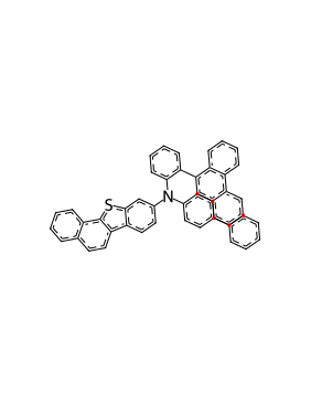 c1ccc(-c2ccc(N(c3ccc4c(c3)sc3c5ccccc5ccc43)c3ccccc3-c3cc4ccccc4c4ccccc34)cc2)cc1